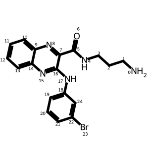 NCCCNC(=O)c1nc2ccccc2nc1Nc1cccc(Br)c1